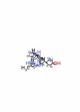 Cc1cc(Nc2cc(-c3ccc(O)nc3)nc(NC3C[C@H]4CC[C@@H](C3)N4CCC#N)n2)n[nH]1